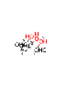 O=[C-]O.O=[C-]O.O=[C-]O.[Au+3]